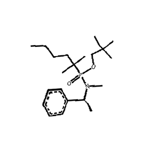 CCCCC(C)(C)P(=O)(OCC(C)(C)C)N(C)[C@@H](C)c1ccccc1